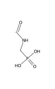 O=[C]NCP(=O)(O)O